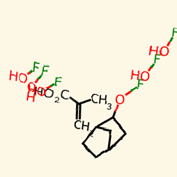 C=C(C)C(=O)O.FOC1CC2CCC1C2.OF.OF.OF.OF.OF